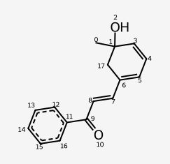 CC1(O)C=CC=C(C=CC(=O)c2ccccc2)C1